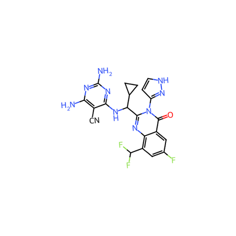 N#Cc1c(N)nc(N)nc1NC(c1nc2c(C(F)F)cc(F)cc2c(=O)n1-c1cc[nH]n1)C1CC1